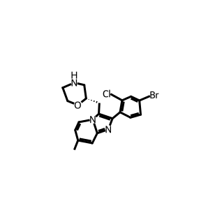 Cc1ccn2c(C[C@H]3CNCCO3)c(-c3ccc(Br)cc3Cl)nc2c1